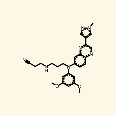 COc1cc(OC)cc(N(CCCNCCC#N)c2ccc3ncc(-c4cnn(C)c4)nc3c2)c1